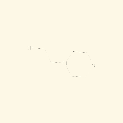 ClCCN1CC[N]CC1